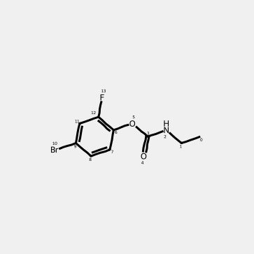 CCNC(=O)Oc1ccc(Br)cc1F